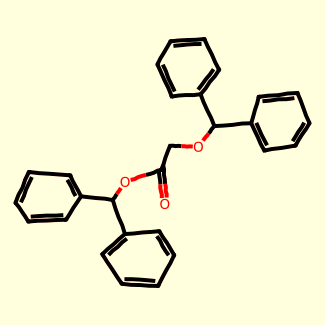 O=C(COC(c1ccccc1)c1ccccc1)OC(c1ccccc1)c1ccccc1